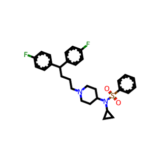 O=S(=O)(c1ccccc1)N(C1CC1)C1CCN(CCCC(c2ccc(F)cc2)c2ccc(F)cc2)CC1